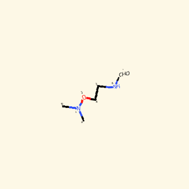 CN(C)OCCNC=O